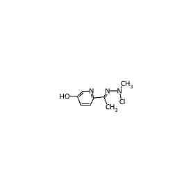 CC(=NN(C)Cl)c1ccc(O)cn1